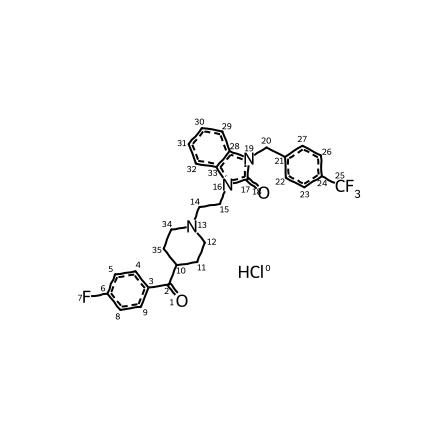 Cl.O=C(c1ccc(F)cc1)C1CCN(CCn2c(=O)n(Cc3ccc(C(F)(F)F)cc3)c3ccccc32)CC1